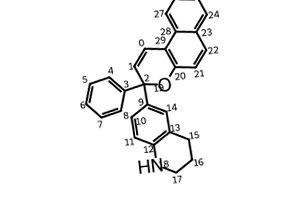 C1=CC(c2ccccc2)(c2ccc3c(c2)CCCN3)Oc2ccc3ccccc3c21